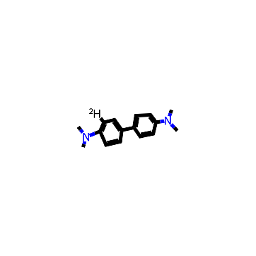 [2H]c1cc(-c2ccc(N(C)C)cc2)ccc1N(C)C